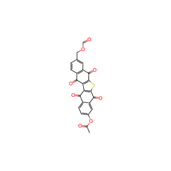 CC(=O)Oc1ccc2c(=O)c3c(sc4c(=O)c5cc(COC=O)ccc5c(=O)c43)c(=O)c2c1